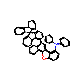 c1ccc(N(c2ccccc2)c2cccc3oc4c5ccccc5c(-c5cccc6c5-c5ccccc5C65c6ccccc6-c6ccccc65)cc4c23)cc1